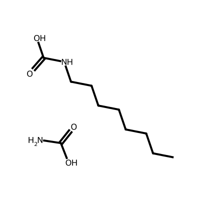 CCCCCCCCNC(=O)O.NC(=O)O